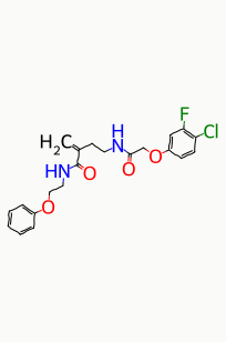 C=C(CCNC(=O)COc1ccc(Cl)c(F)c1)C(=O)NCCOc1ccccc1